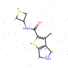 Cc1c(C(=O)NC2CSC2)sc2c1CNC2